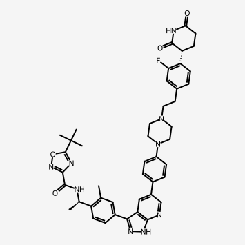 Cc1cc(-c2n[nH]c3ncc(-c4ccc(N5CCN(CCc6ccc([C@H]7CCC(=O)NC7=O)c(F)c6)CC5)cc4)cc23)ccc1[C@@H](C)NC(=O)c1noc(C(C)(C)C)n1